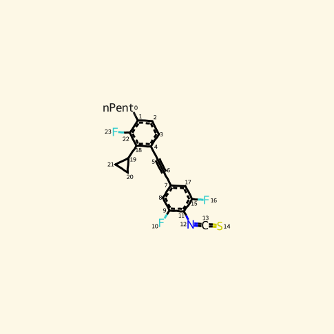 CCCCCc1ccc(C#Cc2cc(F)c(N=C=S)c(F)c2)c(C2CC2)c1F